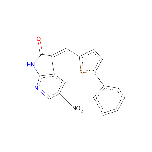 O=C1Nc2ncc([N+](=O)[O-])cc2C1=Cc1ccc(-c2ccccc2)s1